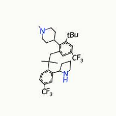 CN1CCC(c2c(CC(C)(C)c3ccc(C(F)(F)F)cc3C3CCCN3)cc(C(F)(F)F)cc2C(C)(C)C)CC1